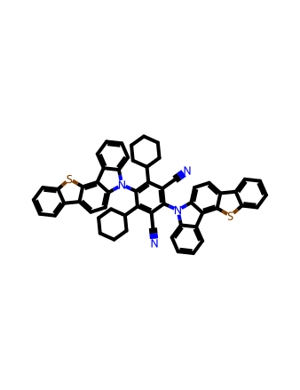 N#Cc1c(C2CCCCC2)c(-n2c3ccccc3c3c4sc5ccccc5c4ccc32)c(C2CCCCC2)c(C#N)c1-n1c2ccccc2c2c3sc4ccccc4c3ccc21